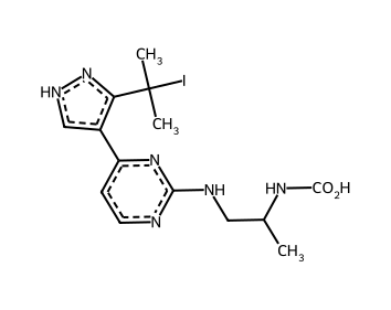 CC(CNc1nccc(-c2c[nH]nc2C(C)(C)I)n1)NC(=O)O